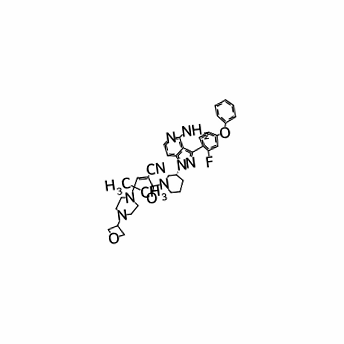 CC(C)(/C=C(/C#N)C(=O)N1CCC[C@@H](n2nc(-c3ccc(Oc4ccccc4)cc3F)c3c(N)nccc32)C1)N1CCN(C2COC2)CC1